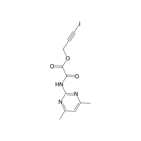 Cc1cc(C)nc(NC(=O)C(=O)OCC#CI)n1